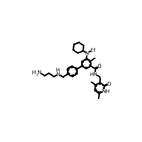 CCN(c1cc(-c2ccc(CNCCCN)cc2)cc(C(=O)NCc2c(C)cc(C)[nH]c2=O)c1C)C1CCCCC1